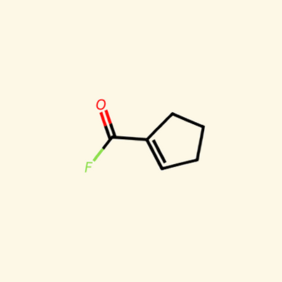 O=C(F)C1=CCCC1